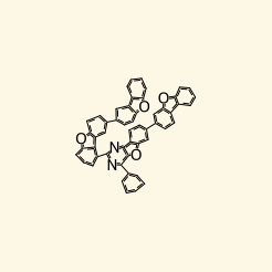 c1ccc(-c2nc(-c3cccc4oc5ccc(-c6ccc7oc8ccccc8c7c6)cc5c34)nc3c2oc2cc(-c4ccc5c(c4)oc4ccccc45)ccc23)cc1